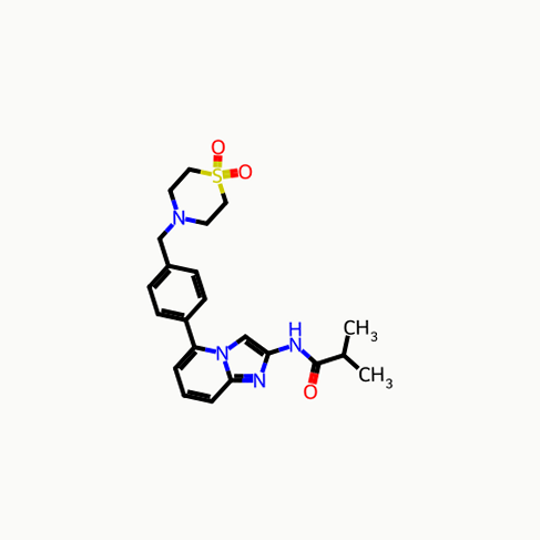 CC(C)C(=O)Nc1cn2c(-c3ccc(CN4CCS(=O)(=O)CC4)cc3)cccc2n1